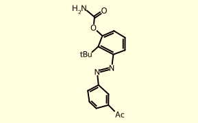 CC(=O)c1cccc(N=Nc2cccc(OC(N)=O)c2C(C)(C)C)c1